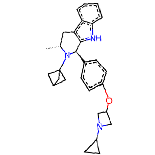 C[C@@H]1Cc2c([nH]c3ccccc23)[C@@H](c2ccc(OC3CN(C4CC4)C3)cc2)N1C12CC(C1)C2